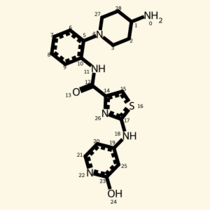 NC1CCN(c2ccccc2NC(=O)c2csc(Nc3ccnc(O)c3)n2)CC1